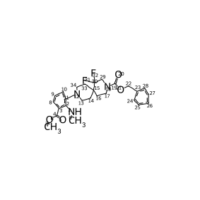 CNc1c(C(=O)OC)cccc1N1CCC2(CCN(C(=O)OCc3ccccc3)CC2(F)F)CC1